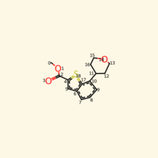 COC(=O)c1cc2cccc(C3CCOCC3)c2s1